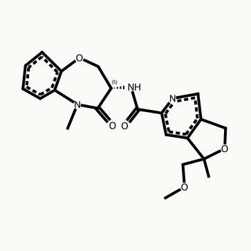 COCC1(C)OCc2cnc(C(=O)N[C@H]3COc4ccccc4N(C)C3=O)cc21